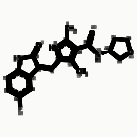 Cc1[nH]c(C=C2C(=O)Nc3ccc(F)cc32)c(C)c1C(=O)N[C@@H]1CCOC1